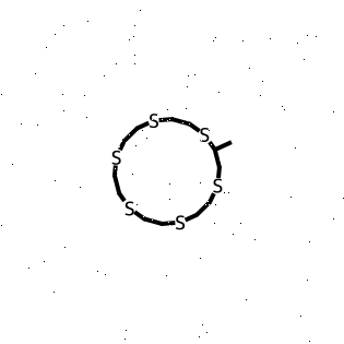 CC1CSCCSCCSCCSCCSCCS1